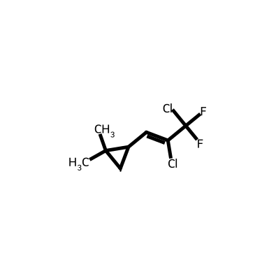 CC1(C)[CH]C1C=C(Cl)C(F)(F)Cl